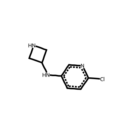 Clc1ccc(NC2CNC2)cn1